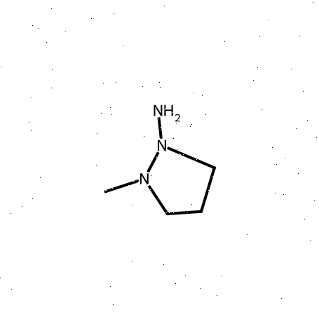 CN1CCCN1N